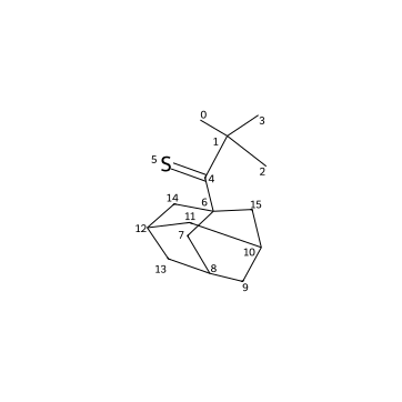 CC(C)(C)C(=S)C12CC3CC(CC(C3)C1)C2